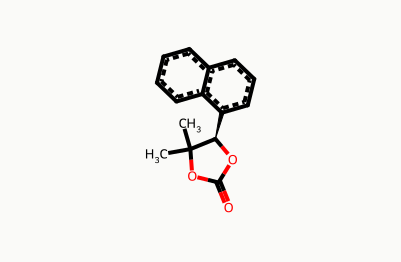 CC1(C)OC(=O)O[C@@H]1c1cccc2ccccc12